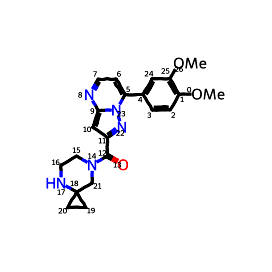 COc1ccc(-c2ccnc3cc(C(=O)N4CCNC5(CC5)C4)nn23)cc1OC